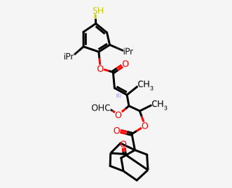 C/C(=C\C(=O)Oc1c(C(C)C)cc(S)cc1C(C)C)C(OC=O)C(C)OC(=O)C12CC3CC(C1)C(=O)C(C3)C2